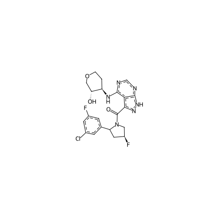 O=C(c1n[nH]c2ncnc(N[C@@H]3CCOC[C@H]3O)c12)N1C[C@@H](F)CC1c1cc(F)cc(Cl)c1